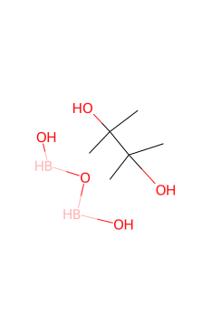 CC(C)(O)C(C)(C)O.OBOBO